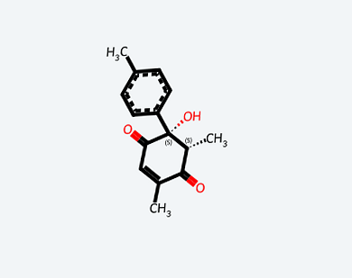 CC1=CC(=O)[C@@](O)(c2ccc(C)cc2)[C@H](C)C1=O